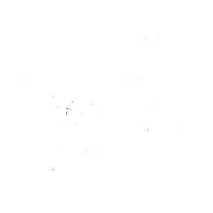 CCC[N+]1=C(C=CC=CC=C2N(CS(=O)(=O)O)c3ccc(S(=O)(=O)O)cc3C2(C)CCP(=O)(OCCCC(=O)O)OCCCC(=O)O)C(C)(CCP(=O)(OCCCOC=O)OCCCC(=O)O)c2cc(C)ccc21